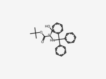 CC(C)(C)OC(=O)[C@@H](CO)NC(c1ccccc1)(c1ccccc1)c1ccccc1